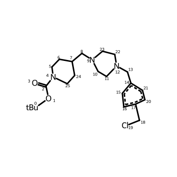 CC(C)(C)OC(=O)N1CCC(CN2CCN(Cc3ccc(CCl)cc3)CC2)CC1